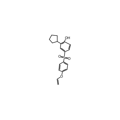 C=COc1ccc(S(=O)(=O)c2ccc(O)c(C3CCCC3)c2)cc1